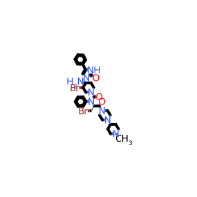 CN1CCC(N2CCN(C(=O)[C@H](CBr)N(C(=O)N3CCC(N)(n4cc(-c5ccccc5)[nH]c4=O)C(Br)C3)c3ccccc3)CC2)CC1